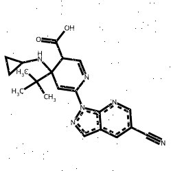 CC(C)(C)C1(NC2CC2)C=C(n2ncc3cc(C#N)cnc32)N=CC1C(=O)O